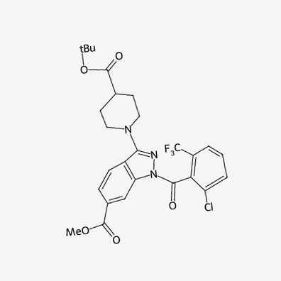 COC(=O)c1ccc2c(N3CCC(C(=O)OC(C)(C)C)CC3)nn(C(=O)c3c(Cl)cccc3C(F)(F)F)c2c1